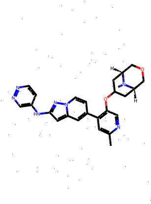 Cc1cc(-c2ccn3nc(Nc4ccnnc4)cc3c2)c(OC2C[C@H]3COC[C@@H](C2)N3C)cn1